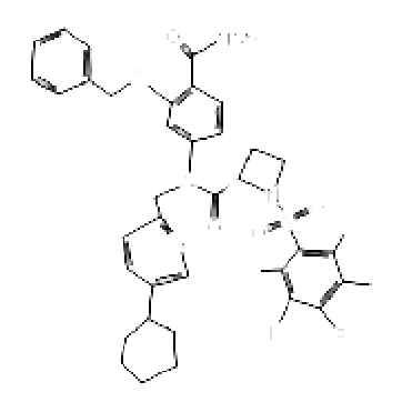 CNC(=O)c1ccc(N(Cc2ccc(C3CCCCC3)cn2)C(=O)[C@H]2CCN2S(=O)(=O)c2c(F)c(F)c(F)c(F)c2F)cc1OCc1ccccc1